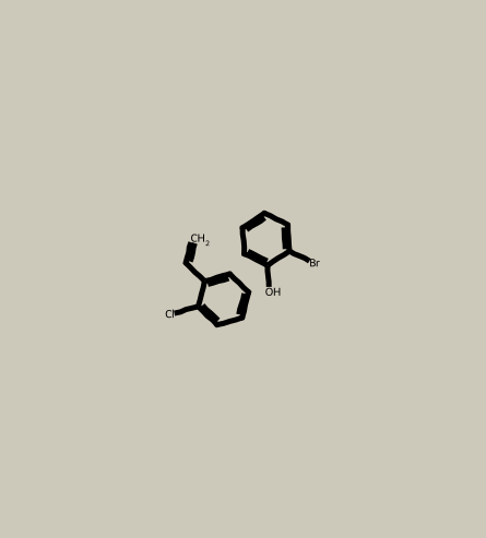 C=Cc1ccccc1Cl.Oc1ccccc1Br